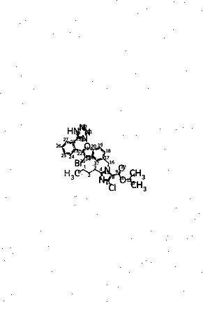 CCCCc1nc(Cl)c(C(=O)OC(C)C)n1Cc1ccc2oc(-c3ccccc3-c3nnn[nH]3)c(Br)c2c1